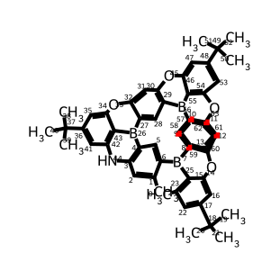 Cc1cc2c(cc1B1c3ccccc3Oc3cc(C(C)(C)C)cc(C)c31)B1c3cc4c(cc3Oc3cc(C(C)(C)C)cc(c31)N2)Oc1cc(C(C)(C)C)cc2c1B4c1ccccc1O2